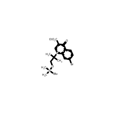 CCOC(=O)c1cn(C(C)(C)CO[Si](C)(C)C(C)(C)C)c2cc(Br)ccc2c1=O